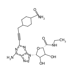 CCNC(=O)[C@H]1O[C@@H](n2cnc3c(N)nc(C#CCC4CCC(C(N)=O)CC4)nc32)C(O)C1O